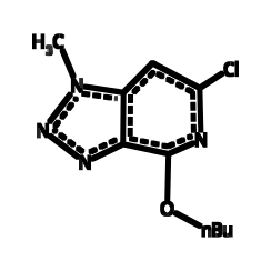 CCCCOc1nc(Cl)cc2c1nnn2C